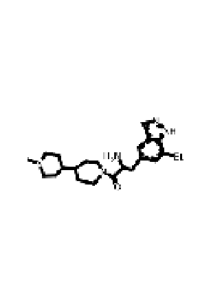 CCc1cc(CC(N)C(=O)N2CCC(C3CCN(C)CC3)CC2)cc2cn[nH]c12